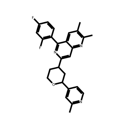 Cc1cc(C2CC(c3cc4nc(C)c(C)cc4c(-c4ccc(F)cc4F)n3)CCO2)ccn1